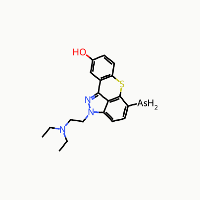 CCN(CC)CCn1nc2c3c(c([AsH2])ccc31)Sc1ccc(O)cc1-2